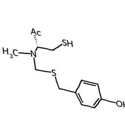 CC(=O)[C@H](CS)N(C)CSCc1ccc(O)cc1